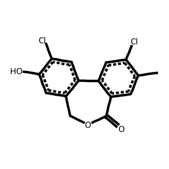 Cc1cc2c(cc1Cl)-c1cc(Cl)c(O)cc1COC2=O